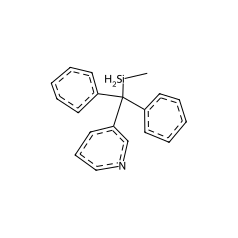 C[SiH2]C(c1ccccc1)(c1ccccc1)c1cccnc1